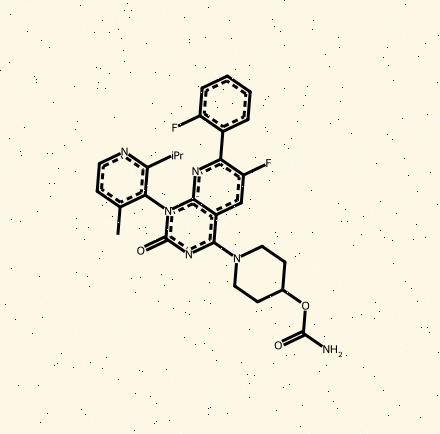 Cc1ccnc(C(C)C)c1-n1c(=O)nc(N2CCC(OC(N)=O)CC2)c2cc(F)c(-c3ccccc3F)nc21